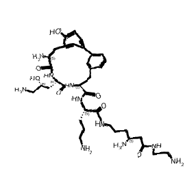 NCCC[C@H](NC(=O)[C@@H]1Cc2cccc(c2)-c2ccc(O)c(c2)C[C@H](N)C(=O)N[C@@H](C[C@@H](O)CN)C(=O)N1)C(=O)NCCC[C@H](N)CC(=O)NCCN